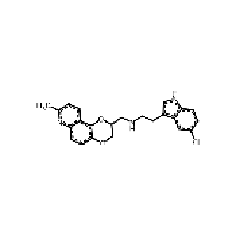 Cc1ccc2c3c(ccc2n1)OCC(CNCCc1c[nH]c2ccc(Cl)cc12)O3